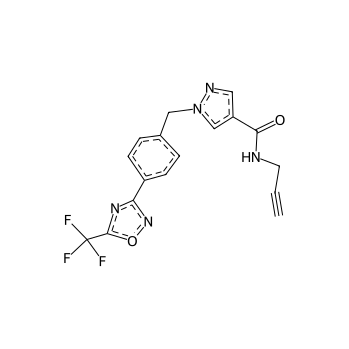 C#CCNC(=O)c1cnn(Cc2ccc(-c3noc(C(F)(F)F)n3)cc2)c1